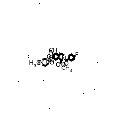 COC(=O)C1c2cc(S(=O)(=O)N3CCCN(C)CC3)c(OC)cc2CCN1C(=O)c1ccc(F)cc1